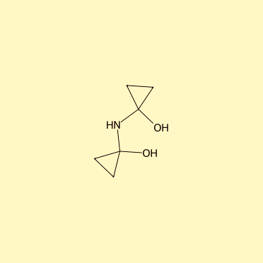 OC1(NC2(O)CC2)CC1